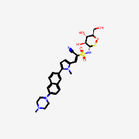 CN1CCN(c2ccc3cc(-c4ccc(/C=C(\C#N)S(=O)(=O)N[C@H]5SO[C@H](CO)[C@@H](O)[C@@H]5O)n4C)ccc3c2)CC1